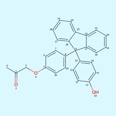 CC(=O)COc1ccc(C2(c3ccc(O)cc3)c3ccccc3-c3ccccc32)cc1